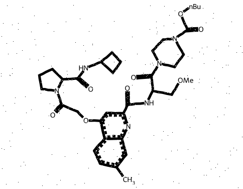 CCCCOC(=O)N1CCN(C(=O)C(COC)NC(=O)c2cc(OCC(=O)N3CCCC3C(=O)NC3CCC3)c3ccc(C)cc3n2)CC1